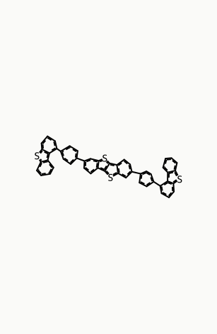 c1ccc2c(c1)sc1cccc(-c3ccc(-c4ccc5c(c4)sc4c6ccc(-c7ccc(-c8cccc9sc%10ccccc%10c89)cc7)cc6sc54)cc3)c12